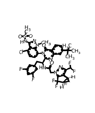 Cn1nc(NS(C)(=O)=O)c2c(Cl)ccc(-n3c(C(Cc4cc(F)cc(F)c4)NC(=O)Cn4nc(C(F)F)c5c4C(F)(F)[C@@H]4C[C@H]54)nc4cc(C(C)(C)C)ccc4c3=O)c21